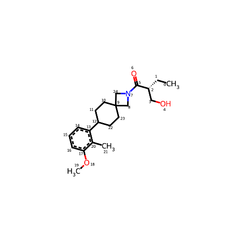 CC[C@H](CO)C(=O)N1CC2(CCC(c3cccc(OC)c3C)CC2)C1